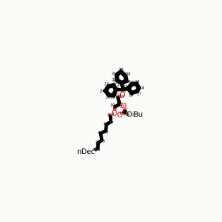 CCCCCCCCCCCCCCCCCCOCC(COC(c1ccccc1)(c1ccccc1)c1ccccc1)OC(=O)OCC(C)C